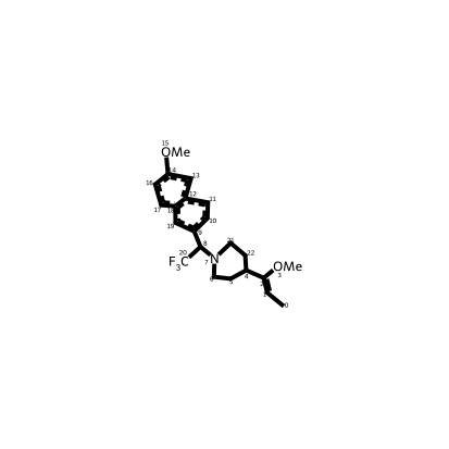 C/C=C(\OC)C1CCN(C(c2ccc3cc(OC)ccc3c2)C(F)(F)F)CC1